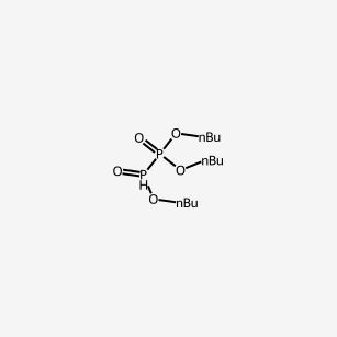 CCCCO[PH](=O)P(=O)(OCCCC)OCCCC